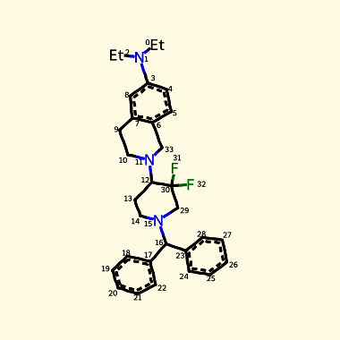 CCN(CC)c1ccc2c(c1)CCN(C1CCN(C(c3ccccc3)c3ccccc3)CC1(F)F)C2